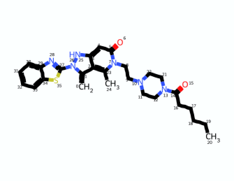 C=C1c2c(cc(=O)n(CCN3CCN(C(=O)CCCCC)CC3)c2C)NN1c1nc2ccccc2s1